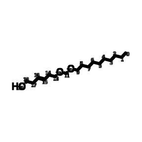 CCCCCCCCCCOCOCCC=CCCO